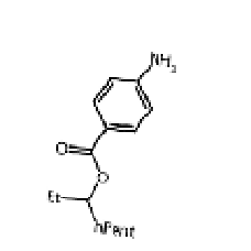 CCCCCC(CC)OC(=O)c1ccc(N)cc1